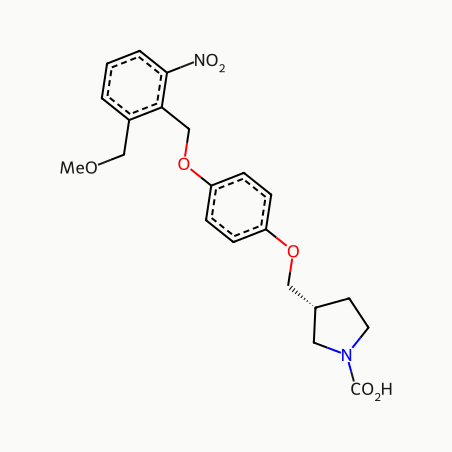 COCc1cccc([N+](=O)[O-])c1COc1ccc(OC[C@@H]2CCN(C(=O)O)C2)cc1